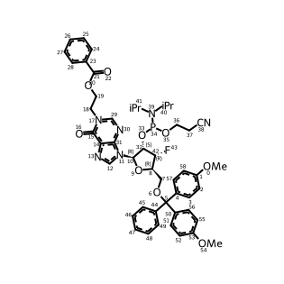 COc1ccc(C(OC[C@H]2O[C@@H](n3cnc4c(=O)n(CCOC(=O)c5ccccc5)cnc43)[C@H](OP(OCCC#N)N(C(C)C)C(C)C)[C@@H]2F)(c2ccccc2)c2ccc(OC)cc2)cc1